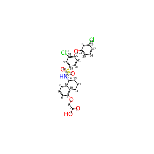 O=C(O)COc1cccc2c1CCCC2NS(=O)(=O)c1ccc(Oc2cccc(Cl)c2)c(Cl)c1